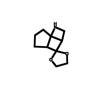 C1CC2C3(C1)NCC3C21OCCO1